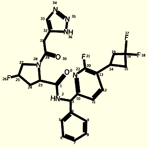 O=C(NC(c1ccccc1)c1ccc(C2CC(F)(F)C2)c(F)n1)C1CC(F)CN1C(=O)Cc1cnn[nH]1